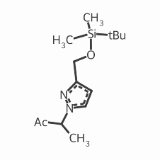 CC(=O)C(C)n1ccc(CO[Si](C)(C)C(C)(C)C)n1